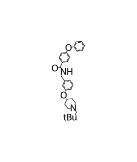 CC(C)(C)CN1CCC(Oc2cccc(CNC(=O)c3ccc(Oc4ccccc4)cc3)c2)CC1